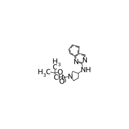 CC(C)(C)OC(=O)N1CCC(Nc2ncc3ccccc3n2)C1